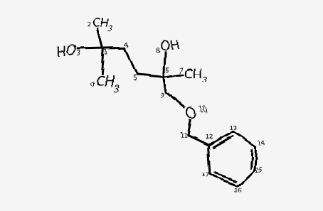 CC(C)(O)CCC(C)(O)COCc1ccccc1